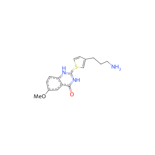 COc1ccc2[nH]c(=S3C=CC(CCCN)=C3)[nH]c(=O)c2c1